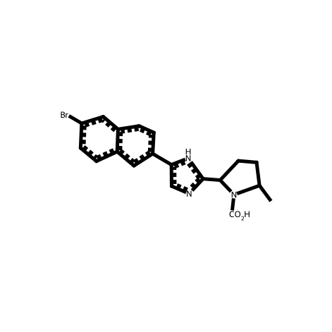 CC1CCC(c2ncc(-c3ccc4cc(Br)ccc4c3)[nH]2)N1C(=O)O